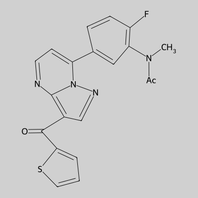 CC(=O)N(C)c1cc(-c2ccnc3c(C(=O)c4cccs4)cnn23)ccc1F